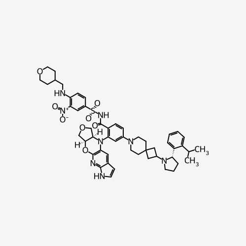 CC(C)c1ccccc1[C@@H]1CCCN1C1CC2(CCN(c3ccc(C(=O)NS(=O)(=O)c4ccc(NCC5CCOCC5)c([N+](=O)[O-])c4)c(N4c5cc6cc[nH]c6nc5O[C@H]5COC[C@H]54)c3)CC2)C1